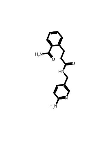 NC(=O)c1ccccc1C[CH]C(=O)NCc1ccc(N)nc1